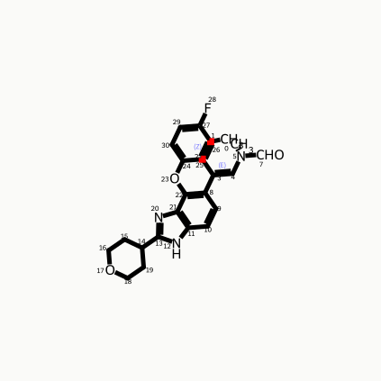 C/C=C\C(=C/N(C)C=O)c1ccc2[nH]c(C3CCOCC3)nc2c1Oc1ccc(F)cc1